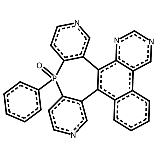 O=P1(c2ccccc2)c2ccncc2-c2c(c3ncncc3c3ccccc23)-c2cnccc21